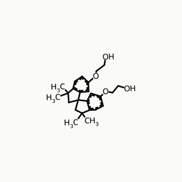 CC1(C)CC2(CC(C)(C)c3ccc(OCCO)cc32)c2cc(OCCO)ccc21